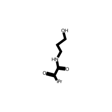 CC(C)C(=O)C(=O)NCCCO